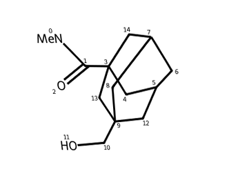 CNC(=O)C12CC3CC(CC(CO)(C3)C1)C2